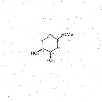 COC1C[C@@H](O)[C@@H](O)CO1